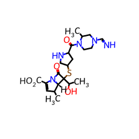 CC1C=C(C(=O)O)N2C(=O)C(SC3CNC(C(=O)N4CCN(C=N)CC4C)C3)(C(C)O)[C@H]12